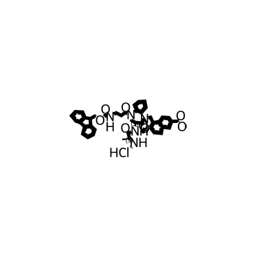 CN[C@@H](C)C(=O)N[C@H]1CN(C(=O)CCNC(=O)OCC2c3ccccc3-c3ccccc32)c2ccccc2N(Cc2c(OC)ccc3cc(C(=O)OC)ccc23)C1=O.Cl